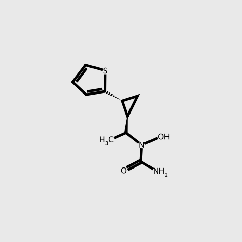 CC([C@@H]1C[C@H]1c1cccs1)N(O)C(N)=O